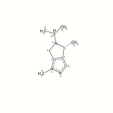 C[C@@H]1c2cnn(C)c2CN1[SH](C)C